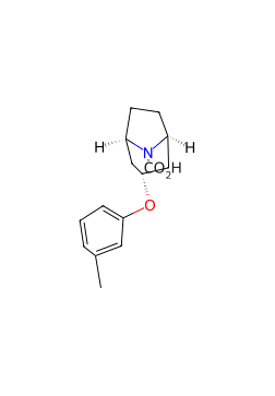 Cc1cccc(O[C@@H]2C[C@H]3CC[C@@H](C2)N3C(=O)O)c1